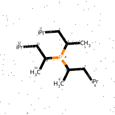 CC(C)CC(C)P(C(C)CC(C)C)C(C)CC(C)C